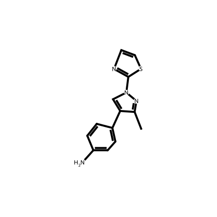 Cc1nn(-c2nccs2)cc1-c1ccc(N)cc1